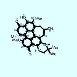 CCCCC1(CCCC)CNc2c(c3c4c5c(c(OC)c(O)c6c(=O)cc(OC)c(c7c(OC)cc(=O)c2c74)c65)CC(C)=C3)N1